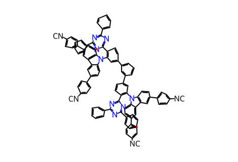 [C-]#[N+]c1ccc(-c2ccc3c(c2)c2cc(-c4ccc([N+]#[C-])cc4)ccc2n3-c2cc(-c3cccc(-c4ccc(-c5nc(-c6ccccc6)nc(-c6ccccc6)n5)c(-n5c6ccc(-c7ccc([N+]#[C-])cc7)cc6c6cc(-c7ccc([N+]#[C-])cc7)ccc65)c4)c3)ccc2-c2nc(-c3ccccc3)nc(-c3ccccc3)n2)cc1